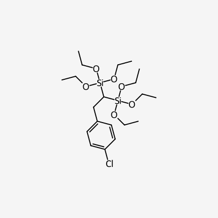 CCO[Si](OCC)(OCC)C(Cc1ccc(Cl)cc1)[Si](OCC)(OCC)OCC